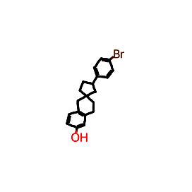 Oc1ccc2c(c1)CCC1(CCC(c3ccc(Br)cc3)C1)C2